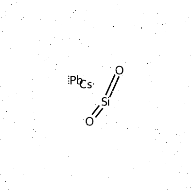 O=[Si]=O.[Cs].[Pb]